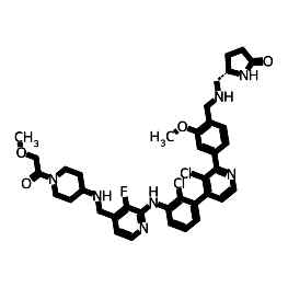 COCC(=O)N1CCC(NCc2ccnc(Nc3cccc(-c4ccnc(-c5ccc(CNC[C@@H]6CCC(=O)N6)c(OC)c5)c4Cl)c3Cl)c2F)CC1